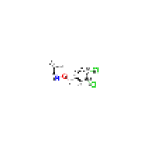 CC(C)/C=N\OCc1ccc(Cl)c(Cl)c1